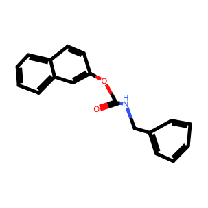 O=C(NCc1ccccc1)Oc1ccc2ccccc2c1